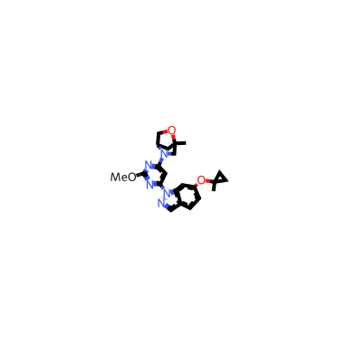 COc1nc(N2CC3(C)CC2CO3)cc(-n2ncc3ccc(OC4(C)CC4)cc32)n1